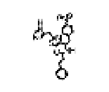 O=C(CCc1ccccc1)NC(Cc1ccc([N+](=O)[O-])cc1)c1csc(Cc2cnc[nH]2)n1